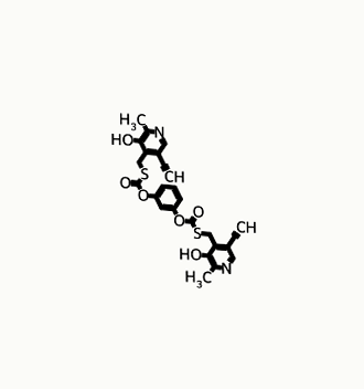 C#Cc1cnc(C)c(O)c1CSC(=O)Oc1cccc(OC(=O)SCc2c(C#C)cnc(C)c2O)c1